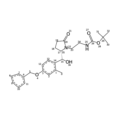 Cc1cc(OCc2ccccc2)ccc1C(O)[C@@H]1CCC(=O)N1CCNC(=O)OC(C)(C)C